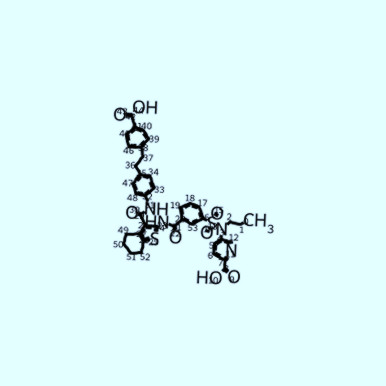 CCCN(c1ccc(C(=O)O)nc1)S(=O)(=O)c1cccc(C(=O)Nc2sc3c(c2C(=O)Nc2ccc(CCc4ccc(C(=O)O)cc4)cc2)CCCC3)c1